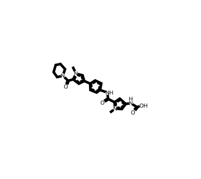 Cn1cc(NC(=O)O)cc1C(=O)Nc1ccc(-c2cc(C(=O)N3CCCCC3)n(C)c2)cc1